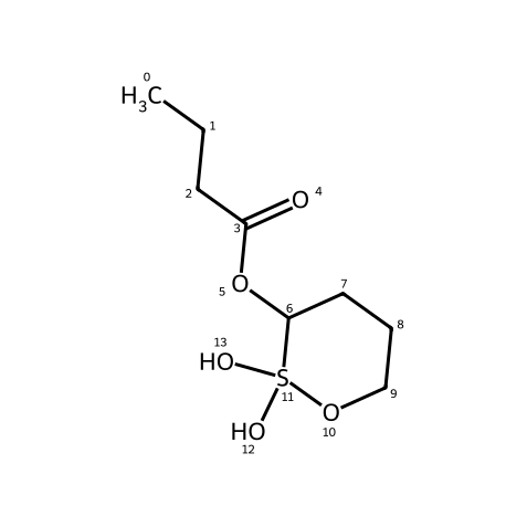 CCCC(=O)OC1CCCOS1(O)O